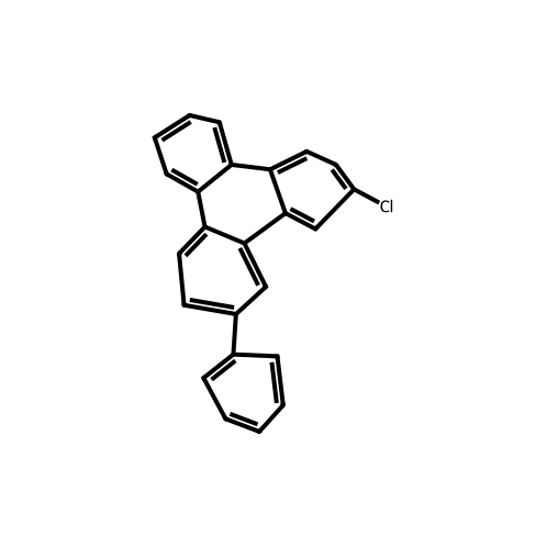 Clc1ccc2c3ccccc3c3ccc(-c4ccccc4)cc3c2c1